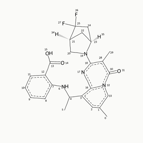 Cc1cc(C(C)Nc2ccccc2C(=O)O)c2nc(N3C[C@@H]4C[C@H]3CC4(F)F)c(C)c(=O)n2c1